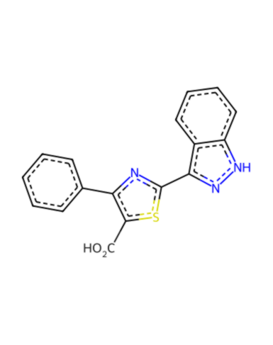 O=C(O)c1sc(-c2n[nH]c3ccccc23)nc1-c1ccccc1